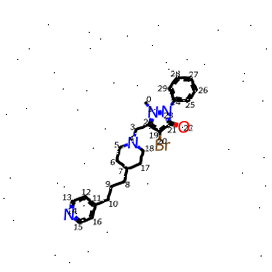 Cn1c(CN2CCC(CCCc3ccncc3)CC2)c(Br)c(=O)n1-c1ccccc1